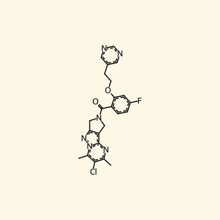 Cc1nc2c3c(nn2c(C)c1Cl)CN(C(=O)c1ccc(F)cc1OCCc1cncnc1)C3